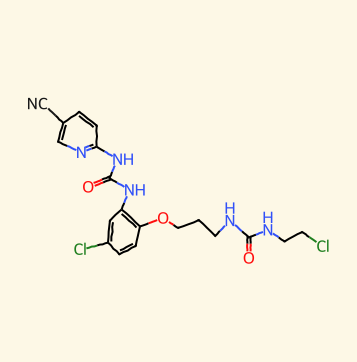 N#Cc1ccc(NC(=O)Nc2cc(Cl)ccc2OCCCNC(=O)NCCCl)nc1